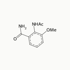 COc1cccc(C(N)=O)c1NC(C)=O